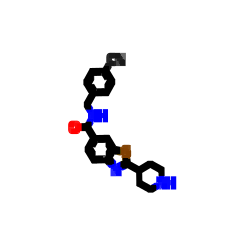 N#Cc1ccc(CNC(=O)c2ccc3nc(C4CCNCC4)sc3c2)cc1